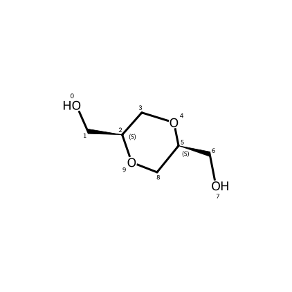 OC[C@H]1CO[C@@H](CO)CO1